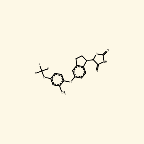 Cc1cc(OC(F)(F)F)ccc1Oc1ccc2c(c1)CC[C@H]2C1SC(=O)NC1=O